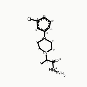 CC(C(=O)NN)N1CCN(c2cccc(Cl)c2)CC1